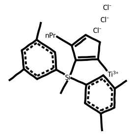 CCCC1=CC[C]([Ti+3])=C1[Si](C)(c1cc(C)cc(C)c1)c1cc(C)cc(C)c1.[Cl-].[Cl-].[Cl-]